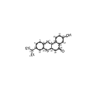 CCN(CC)c1ccc2nc3c4ccc(O)cc4c(=O)cc-3sc2c1